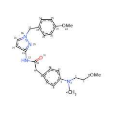 COCCN(C)c1ccc(CC(=O)Nc2ccn(Cc3ccc(OC)cc3)n2)cc1